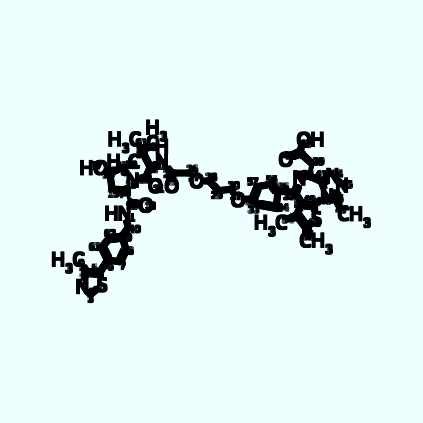 Cc1ncsc1-c1ccc(CNC(=O)[C@@H]2C[C@@H](O)CN2C(=O)C(NC(=O)COCCCOc2ccc(C3=N[C@@H](CC(=O)O)c4nnc(C)n4-c4sc(C)c(C)c43)cc2)C(C)(C)C)cc1